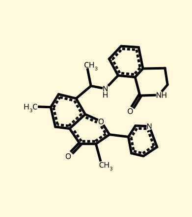 Cc1cc(C(C)Nc2cccc3c2C(=O)NCC3)c2oc(-c3cccnc3)c(C)c(=O)c2c1